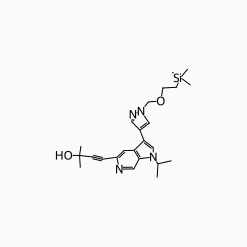 CC(C)n1cc(-c2cnn(COCC[Si](C)(C)C)c2)c2cc(C#CC(C)(C)O)ncc21